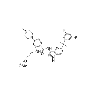 COCOCCCNc1cc(N2CCN(C)CC2)ccc1C(=O)Nc1n[nH]c2ccc(C(C)(C)c3cc(F)cc(F)c3)cc12